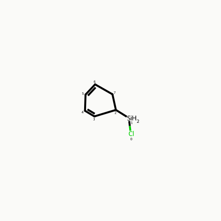 Cl[SiH2]C1C=CC=CC1